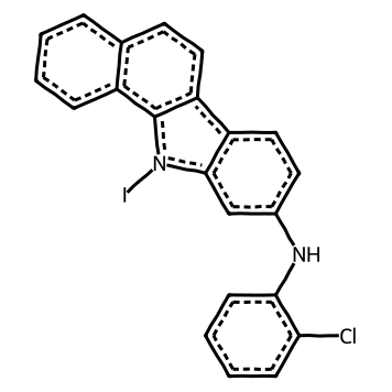 Clc1ccccc1Nc1ccc2c3ccc4ccccc4c3n(I)c2c1